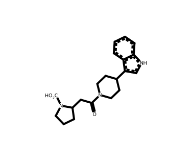 O=C(CC1CCCN1C(=O)O)N1CCC(c2c[nH]c3ccccc23)CC1